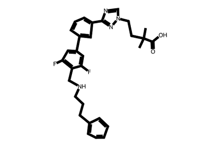 CC(C)(CCn1cnc(-c2cccc(-c3cc(F)c(CNCCCc4ccccc4)c(F)c3)c2)n1)C(=O)O